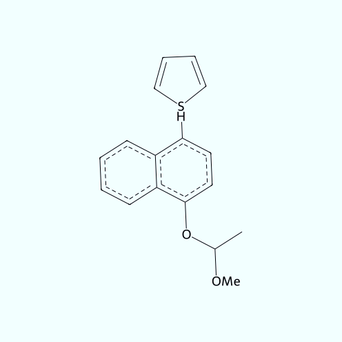 COC(C)Oc1ccc([SH]2C=CC=C2)c2ccccc12